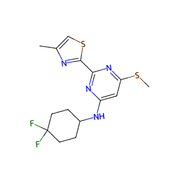 CSc1cc(NC2CCC(F)(F)CC2)nc(-c2nc(C)cs2)n1